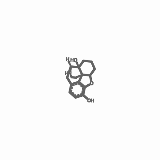 Oc1ccc2c3c1OC1CCC[C@@]4(O)[C@@H](C2)NCC[C@]314